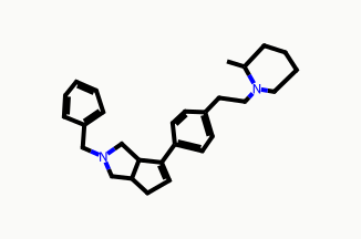 CC1CCCCN1CCc1ccc(C2=CCC3CN(Cc4ccccc4)CC23)cc1